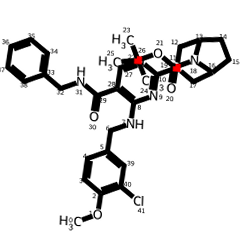 COc1ccc(CNc2nc(N3CC4CCC(C3)N4C(=O)OC(C)(C)C)ncc2C(=O)NCc2ccccc2)cc1Cl